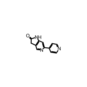 O=C1Cc2cnc(-c3ccncc3)cc2N1